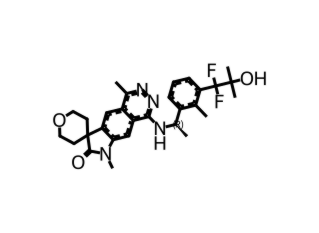 Cc1c([C@@H](C)Nc2nnc(C)c3cc4c(cc23)N(C)C(=O)C42CCOCC2)cccc1C(F)(F)C(C)(C)O